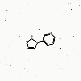 [C]1=CN(c2cccnc2)NO1